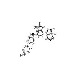 Cn1cc(-c2ccc(Nc3ccc(N4CCC(O)CC4)cn3)c3c2CNC3=O)c2cnncc21